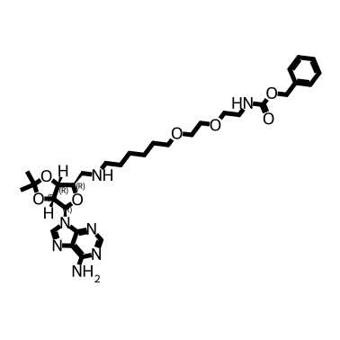 CC1(C)O[C@@H]2[C@H](O1)[C@@H](CNCCCCCCOCCOCCNC(=O)OCc1ccccc1)O[C@H]2n1cnc2c(N)ncnc21